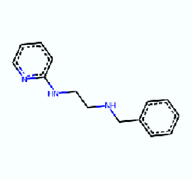 c1ccc(CNCCNc2ccccn2)cc1